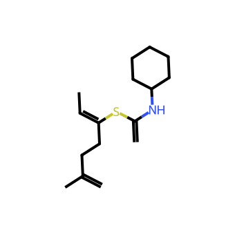 C=C(C)CC/C(=C/C)SC(=C)NC1CCCCC1